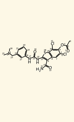 CC(=O)Oc1c(Cl)cc2c(C(N)=O)c(NC(=O)Nc3cccc(CN(C)C)c3)sc2c1Cl